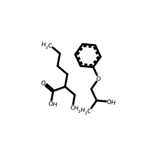 CC(O)COc1ccccc1.CCCCC(CC)C(=O)O